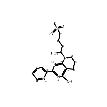 CS(=O)(=O)CCCC(O)N1CCCc2c(O)nc(-c3ccccn3)nc21